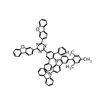 Cc1cc(C)c(-c2ccc3c(c2)c2ccc(-n4c5ccccc5c5ccccc54)cc2n3-c2c(-c3ccccc3)cc(-c3nc(-c4ccc5c(c4)oc4ccccc45)nc(-c4ccc5c(c4)oc4ccccc45)n3)cc2-c2ccccc2)c(C)c1